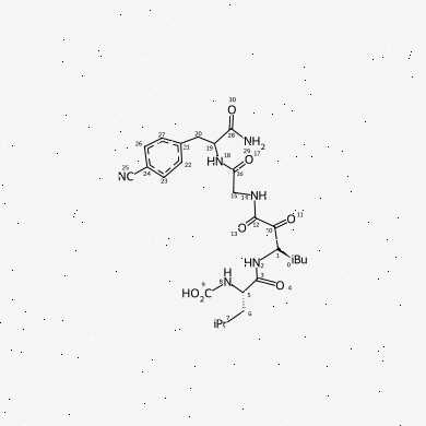 CC[C@H](C)C(NC(=O)[C@H](CC(C)C)NC(=O)O)C(=O)C(=O)NCC(=O)NC(Cc1ccc(C#N)cc1)C(N)=O